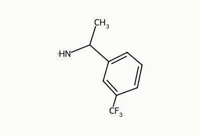 CC([NH])c1cccc(C(F)(F)F)c1